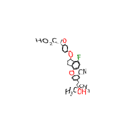 CC(C)(O)CCc1ccc(Oc2ccc(F)c3c2CC[C@H]3Oc2ccc3c(c2)OC[C@H]3CC(=O)O)c(C#N)c1